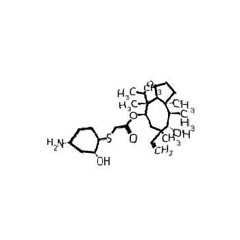 C=C[C@]1(C)C[C@@H](OC(=O)CS[C@@H]2CC[C@@H](N)C[C@H]2O)[C@](C)(C(C)C)C2C(=O)CC[C@@]2(C)[C@@H](C)[C@@H]1O